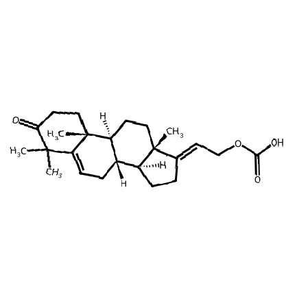 CC1(C)C(=O)CC[C@@]2(C)C1=CC[C@@H]1[C@@H]2CC[C@]2(C)C(=CCOC(=O)O)CC[C@@H]12